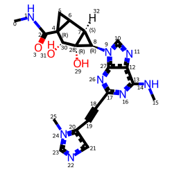 CNC(=O)C12CC1[C@H]1[C@@H](n3cnc4c(NC)nc(C#Cc5cncn5C)nc43)[C@@]1(O)[C@@H]2O